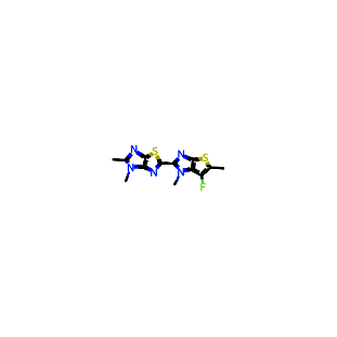 Cc1sc2nc(-c3nc4c(nc(C)n4C)s3)n(C)c2c1F